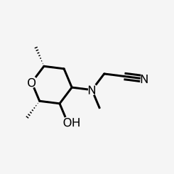 C[C@@H]1CC(N(C)CC#N)C(O)[C@H](C)O1